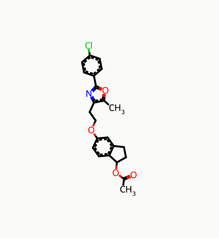 CC(=O)OC1CCc2cc(OCCc3nc(-c4ccc(Cl)cc4)oc3C)ccc21